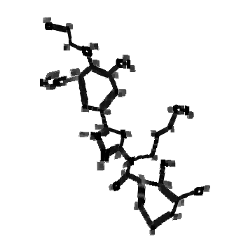 CCCCN(C(=O)c1cccc(Cl)c1F)c1nnc(-c2cc(C)c(OCC=O)c(C)c2)s1